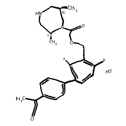 CC(=O)c1ccc(-c2ccc(F)c(COC(=O)N3[C@H](C)CNC[C@@H]3C)c2F)cc1.Cl